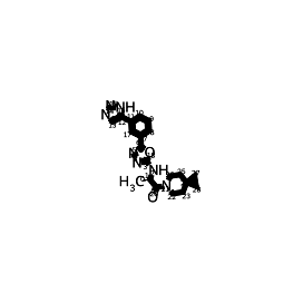 C[C@H](Nc1nnc(-c2cccc(-c3cnn[nH]3)c2)o1)C(=O)N1CCC2(CC1)CC2